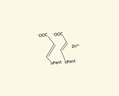 CCCCCC=CC(=O)[O-].CCCCCC=CC(=O)[O-].[Zn+2]